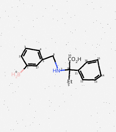 Bc1cccc(CNC(CC)(C(=O)O)c2ccccc2)c1